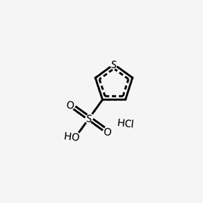 Cl.O=S(=O)(O)c1ccsc1